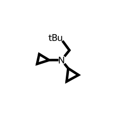 CC(C)(C)CN(C1CC1)C1CC1